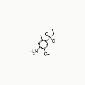 CCS(=O)(=O)c1cc(OC)c(N)cc1C